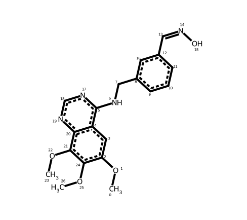 COc1cc2c(NCc3cccc(/C=N\O)c3)ncnc2c(OC)c1OC